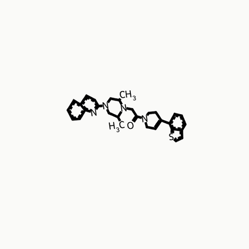 CC1CN(c2ccc3ccccc3n2)CC(C)N1CC(=O)N1CC=C(c2cccc3ccsc23)CC1